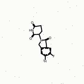 [2H]c1cc2c(cc1F)C(=O)N(C1CCC(=O)NC1=O)C2